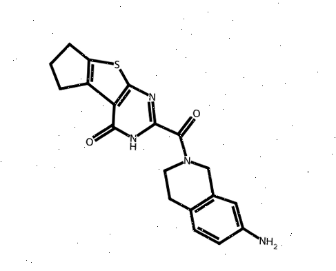 Nc1ccc2c(c1)CN(C(=O)c1nc3sc4c(c3c(=O)[nH]1)CCC4)CC2